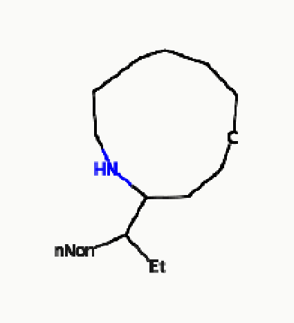 CCCCCCCCCC(CC)C1CCCCCCCCCN1